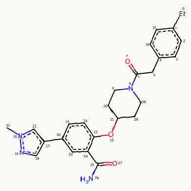 CCc1ccc(CC(=O)N2CCC(Oc3ccc(-c4cnn(C)c4)cc3C(N)=O)CC2)cc1